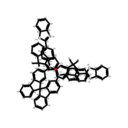 CC1(C)c2ccccc2-c2ccc(N(c3ccc(-c4nc5ccccc5o4)cc3)c3ccc4c(c3)C3(c5ccccc5-4)c4ccccc4-c4ccc(N(c5ccc(-c6nc7ccccc7o6)cc5)c5ccc6c(c5)C(C)(C)c5ccccc5-6)cc43)cc21